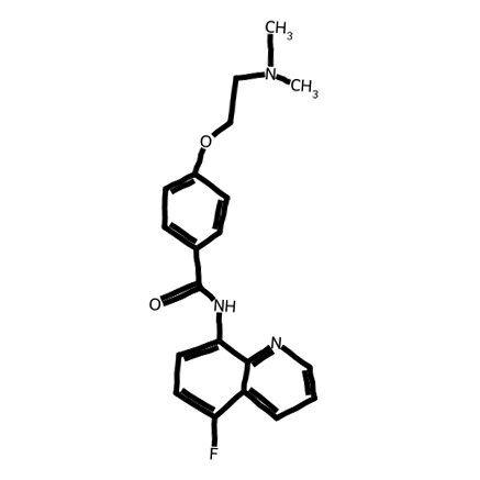 CN(C)CCOc1ccc(C(=O)Nc2ccc(F)c3cccnc23)cc1